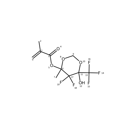 C=C(C)C(=O)OC1(C)OCOC(O)(C(F)(F)F)C1(F)F